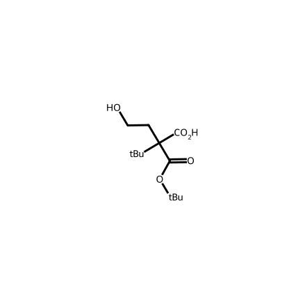 CC(C)(C)OC(=O)C(CCO)(C(=O)O)C(C)(C)C